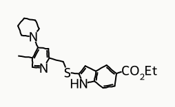 CCOC(=O)c1ccc2[nH]c(SCc3cc(N4CCCCC4)c(C)cn3)cc2c1